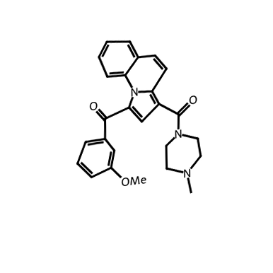 COc1cccc(C(=O)c2cc(C(=O)N3CCN(C)CC3)c3ccc4ccccc4n23)c1